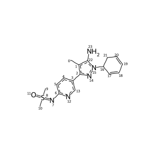 Cc1c(-c2ccc(N=S(C)(C)=O)nc2)nn(C2C=CC=CC2)c1N